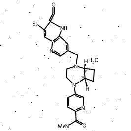 CCC1=Cc2ncc(CN3CCN(c4ccc(C(=O)NC)nc4)[C@H]4CC[C@H]43)cc2NC1=C=O.O